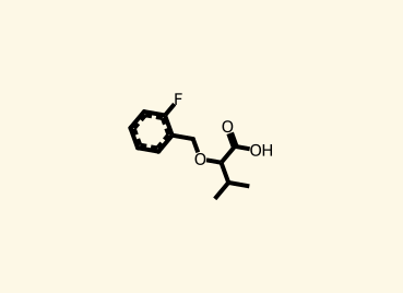 CC(C)C(OCc1ccccc1F)C(=O)O